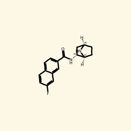 O=C(N[C@@H]1C[C@H]2CC[C@@H]1N2)c1ccc2ccc(F)cc2c1